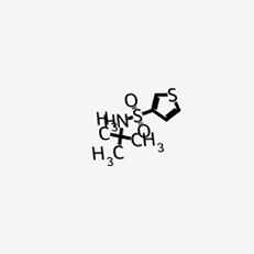 CC(C)(C)NS(=O)(=O)c1ccsc1